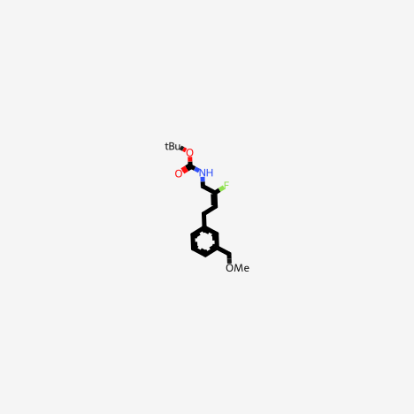 COCc1cccc(C/C=C(/F)CNC(=O)OC(C)(C)C)c1